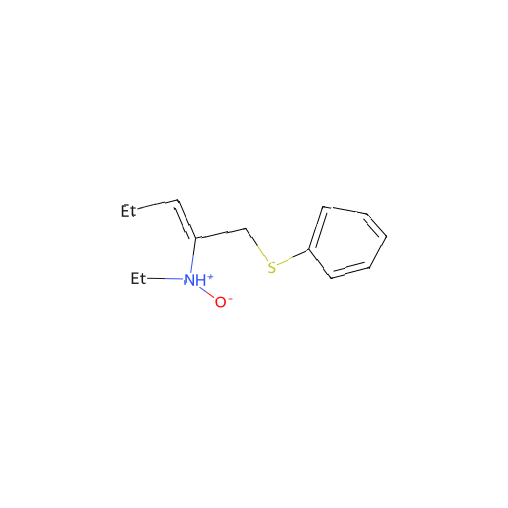 CCC=C(CSc1ccccc1)[NH+]([O-])CC